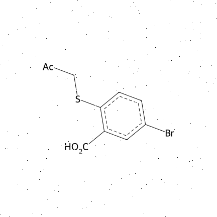 CC(=O)CSc1ccc(Br)cc1C(=O)O